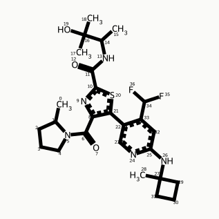 CC1CCCN1C(=O)c1nc(C(=O)NC(C)C(C)(C)O)sc1-c1cnc(NC2(C)CCC2)cc1C(F)F